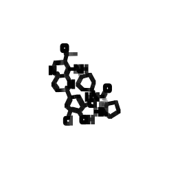 CC(=O)c1cnc2ccc(-c3cc(Cl)c(O)c(Cl)c3)nc2c1N[C@H]1CC[C@H](NC(=O)[C@@H]2CCCN2)CC1